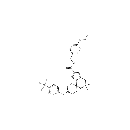 CCSc1ccc(CNC(=O)c2cc3c(s2)C2(CCN(Cc4cnc(C(F)(F)F)nc4)CC2)OC(C)(C)C3)nc1